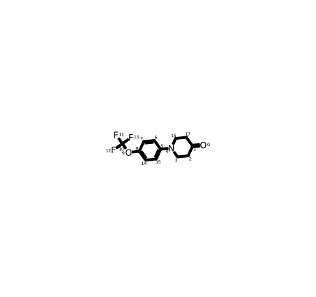 O=C1CCN(c2ccc(OC(F)(F)F)cc2)CC1